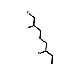 FCC(F)CCCC(F)CF